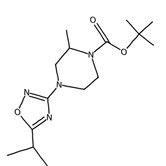 CC(C)c1nc(N2CCN(C(=O)OC(C)(C)C)C(C)C2)no1